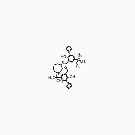 CC(C)(C)c1cc(CSC2CCCCCC[C@@H]2SCc2cc(C(C)(C)C)cc(-n3cccc3)c2O)c(O)c(-n2cccc2)c1